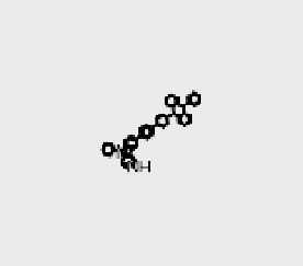 C1=Cc2c(c3cc(-c4ccc(-c5ccc(-c6c7ccccc7c(-c7ccccc7)c7ccccc67)cc5)cc4)ccc3n2-c2ccccc2)CN1